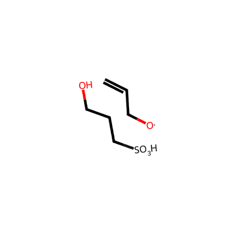 C=CC[O].O=S(=O)(O)CCCO